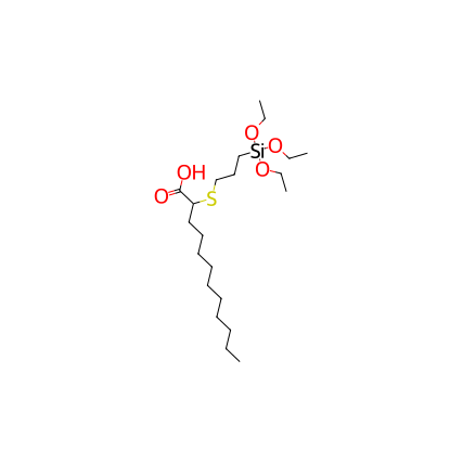 CCCCCCCCCCC(SCCC[Si](OCC)(OCC)OCC)C(=O)O